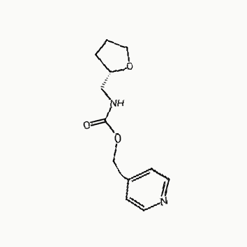 O=C(NC[C@@H]1CCCO1)OCc1ccncc1